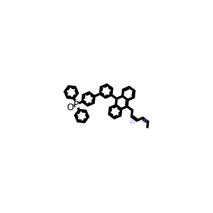 C/C=C\C=C/CC1=C2C=CC=CC2C(c2cccc(-c3ccc(P(=O)(c4ccccc4)c4ccccc4)cc3)c2)c2ccccc21